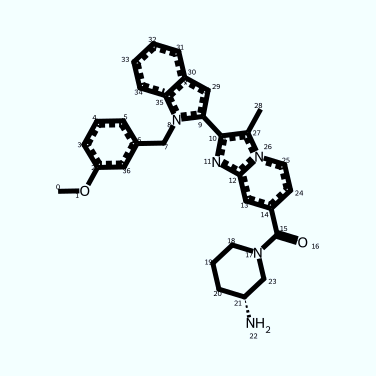 COc1cccc(Cn2c(-c3nc4cc(C(=O)N5CCC[C@@H](N)C5)ccn4c3C)cc3ccccc32)c1